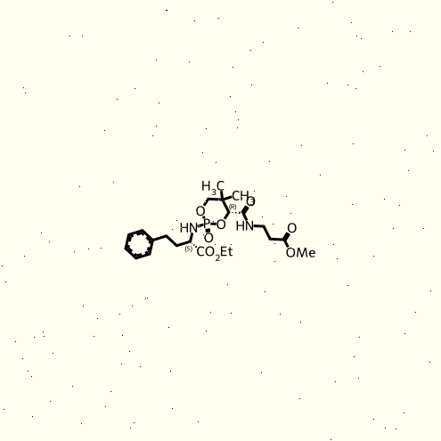 CCOC(=O)[C@H](CCc1ccccc1)NP1(=O)OCC(C)(C)[C@H](C(=O)NCCC(=O)OC)O1